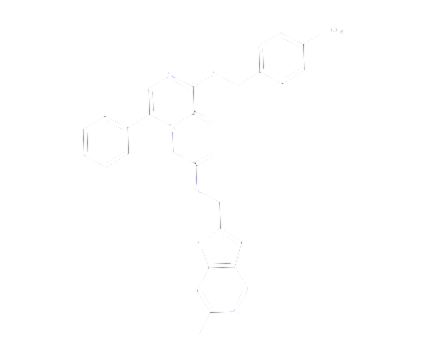 COc1ccc(CNc2ncc(-c3ccccc3)n(CC(=O)NCc3cc4cnc(C)cc4[nH]3)c2=O)cc1